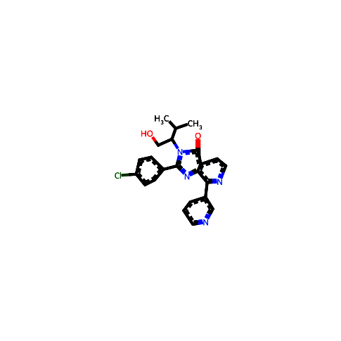 CC(C)C(CO)n1c(-c2ccc(Cl)cc2)nc2c(-c3cccnc3)nccc2c1=O